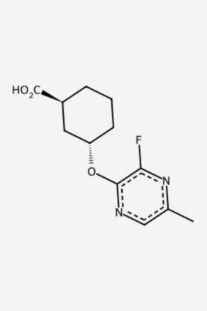 Cc1cnc(O[C@H]2CCC[C@H](C(=O)O)C2)c(F)n1